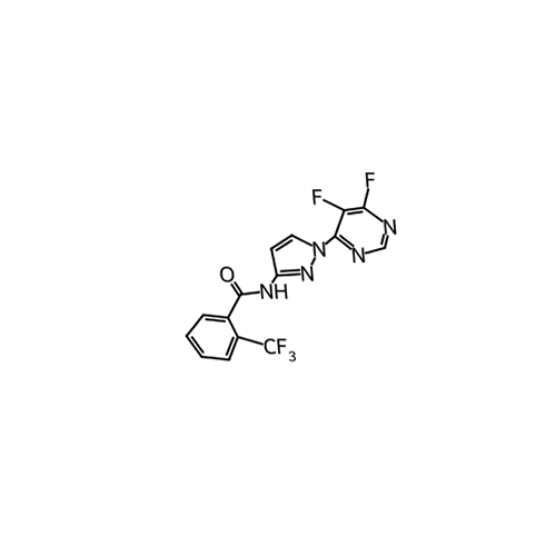 O=C(Nc1ccn(-c2ncnc(F)c2F)n1)c1ccccc1C(F)(F)F